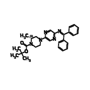 C[C@@H]1CN(c2cnc(N=C(c3ccccc3)c3ccccc3)cn2)CCN1C(=O)OC(C)(C)C